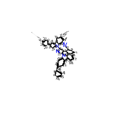 N#Cc1ccccc1-c1cc(-n2c3ccccc3c3cc(-c4ccccc4)ccc32)ncc1-n1c2ccccc2c2cc(-c3ccccc3)ccc21